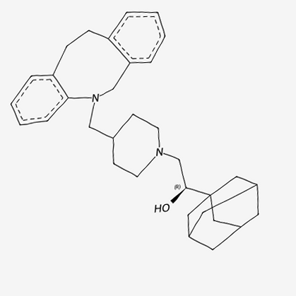 O[C@@H](CN1CCC(CN2Cc3ccccc3CCc3ccccc32)CC1)C12CC3CC(CC(C3)C1)C2